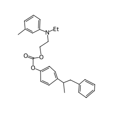 CCN(CCOC(=O)Oc1ccc(C(C)Cc2ccccc2)cc1)c1cccc(C)c1